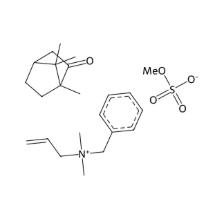 C=CC[N+](C)(C)Cc1ccccc1.CC12CCC(CC1=O)C2(C)C.COS(=O)(=O)[O-]